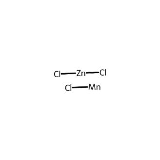 [Cl][Mn].[Cl][Zn][Cl]